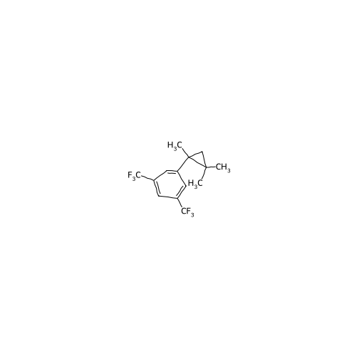 CC1(C)CC1(C)c1cc(C(F)(F)F)cc(C(F)(F)F)c1